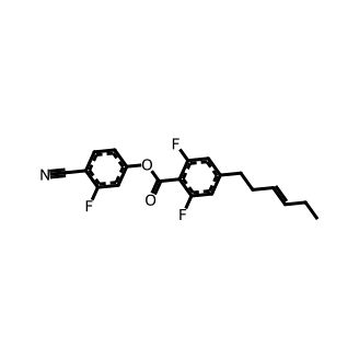 CCC=CCCc1cc(F)c(C(=O)Oc2ccc(C#N)c(F)c2)c(F)c1